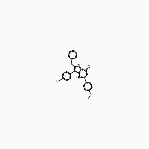 COc1ccc(-c2cc(=O)n3nc(Cc4ccccc4)c(-c4ccc(Cl)cc4)c3[nH]2)cc1